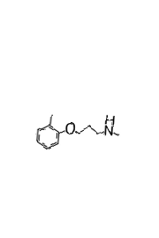 CNCCCOc1ccccc1C